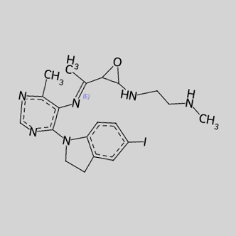 CNCCNC1OC1/C(C)=N/c1c(C)ncnc1N1CCc2cc(I)ccc21